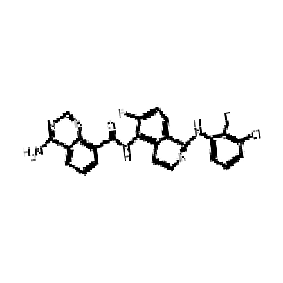 Nc1ncnc2c(C(=O)Nc3c(F)ccc4c(Nc5cccc(Cl)c5F)nccc34)cccc12